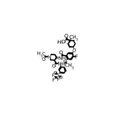 COc1cc(F)c(O[C@H]2CC[C@@](C)(C(=O)O)CC2)cc1C(=O)N[C@H]1CCN(C(C)=O)CC1C(=O)Nc1cccc(S(=O)(=O)C(F)(F)F)c1